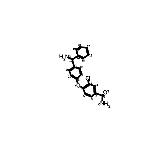 NC(=O)c1ccc(Oc2ccc(C(N)c3ccccc3)cc2)c(Cl)c1